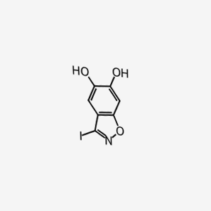 Oc1cc2onc(I)c2cc1O